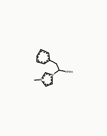 CCCCCCC(Cc1ccccc1)[n+]1ccn(C)c1